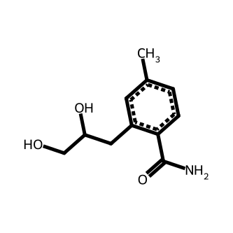 Cc1ccc(C(N)=O)c(CC(O)CO)c1